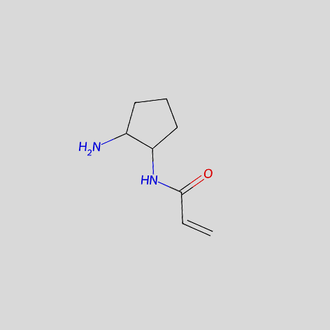 C=CC(=O)NC1CCCC1N